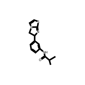 CC(C)C(=O)Nc1cccc(C2CN3C=CSC3=N2)c1